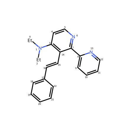 CCN(CC)c1ccnc(-c2ccccn2)c1C=Cc1ccccc1